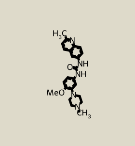 COc1ccc(NC(=O)Nc2ccc3nc(C)ccc3c2)cc1N1CCN(C)CC1